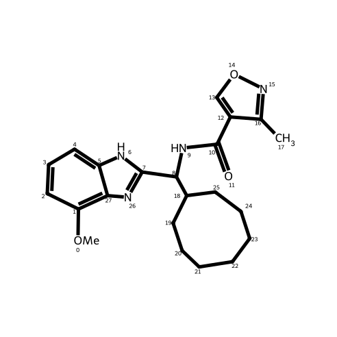 COc1cccc2[nH]c(C(NC(=O)c3conc3C)C3CCCCCCC3)nc12